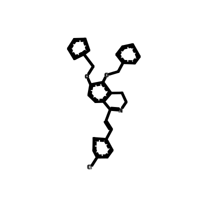 Clc1ccc(C=CC2=NCCc3c2ccc(OCc2ccccc2)c3OCc2ccccc2)cc1